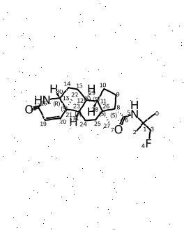 CC(C)(CF)NC(=O)[C@H]1CC[C@H]2[C@@H]3CC[C@H]4NC(=O)C=C[C@]4(C)[C@H]3CC[C@]12C